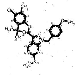 COc1ccc(Cn2nc(COc3cc(C)c(Cl)cc3C(C)(C)C)c3cnc(SC)nc32)cc1